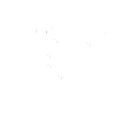 Cc1cccc([C@@H](C)Nc2nnc(C)c3ccc(N4CCC(F)(F)CC4)cc23)c1C